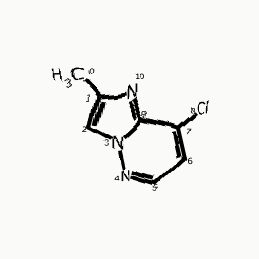 Cc1cn2nccc(Cl)c2n1